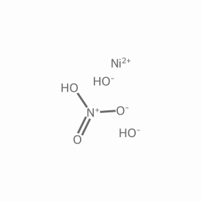 O=[N+]([O-])O.[Ni+2].[OH-].[OH-]